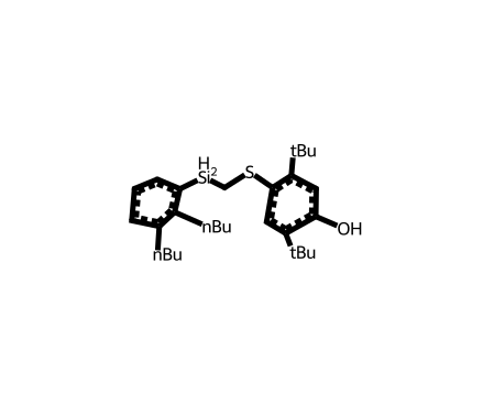 CCCCc1cccc([SiH2]CSc2cc(C(C)(C)C)c(O)cc2C(C)(C)C)c1CCCC